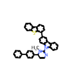 CN1C(n2c3ccccc3c3cc(-c4cccc5c4sc4ccccc45)ccc32)=NC=CC1c1ccc(-c2ccccc2)cc1